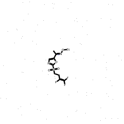 CCO/N=C(\C)c1cnc(S(=O)(=O)CCC(F)=C(F)F)o1